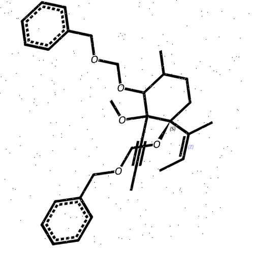 CC#CC1(OC)C(OCOCc2ccccc2)C(C)CC[C@]1(OCOCc1ccccc1)/C(C)=C\C